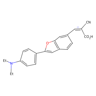 CCN(CC)c1ccc(-c2cc3ccc(/C=C(/C#N)C(=O)O)cc3o2)cc1